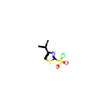 CC(C)c1csc(S(=O)(=O)Cl)n1